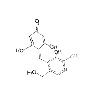 Cc1ncc(CO)c(C=C2C(O)=CC(=O)C=C2O)c1O